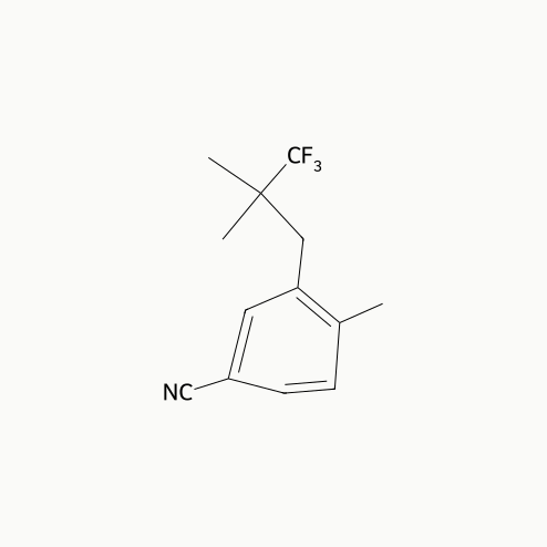 Cc1ccc(C#N)cc1CC(C)(C)C(F)(F)F